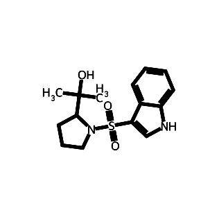 CC(C)(O)C1CCCN1S(=O)(=O)c1c[nH]c2ccccc12